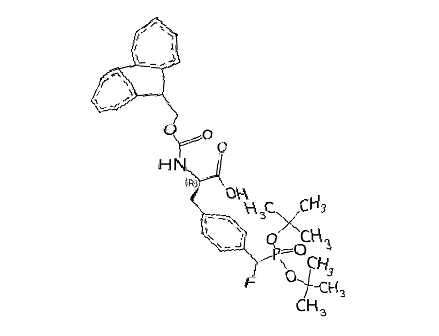 CC(C)(C)OP(=O)(OC(C)(C)C)C(F)c1ccc(C[C@@H](NC(=O)OCC2c3ccccc3-c3ccccc32)C(=O)O)cc1